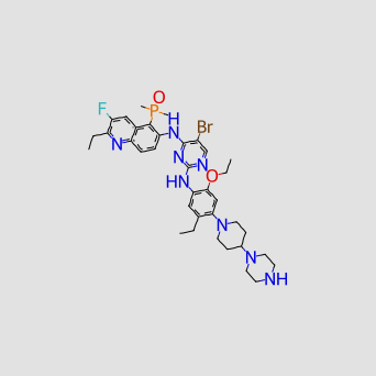 CCOc1cc(N2CCC(N3CCNCC3)CC2)c(CC)cc1Nc1ncc(Br)c(Nc2ccc3nc(CC)c(F)cc3c2P(C)(C)=O)n1